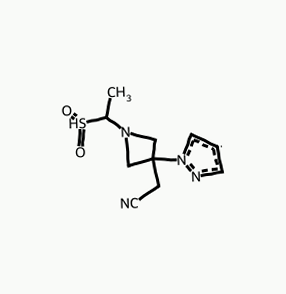 CC(N1CC(CC#N)(n2c[c]cn2)C1)[SH](=O)=O